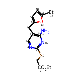 CCOC(=O)CSc1ncc(Cc2ccc(CC)o2)c(N)n1